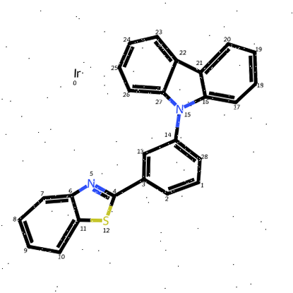 [Ir].c1cc(-c2nc3ccccc3s2)cc(-n2c3ccccc3c3ccccc32)c1